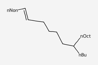 [CH2]CCCCCCCC/C=C/CCCCC(CCCC)CCCCCCC[CH2]